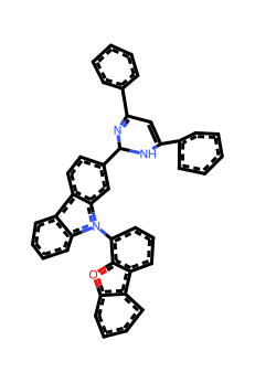 C1=C(c2ccccc2)NC(c2ccc3c4ccccc4n(-c4cccc5c4oc4ccccc45)c3c2)N=C1c1ccccc1